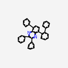 c1ccc(-c2ccccc2-c2ccc(-c3ccccc3)c3nc(-c4ccccc4)c(-c4ccccc4)nc23)cc1